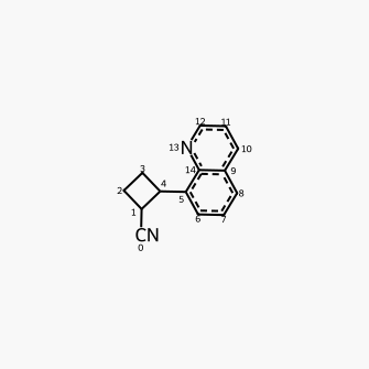 N#CC1CCC1c1cccc2cccnc12